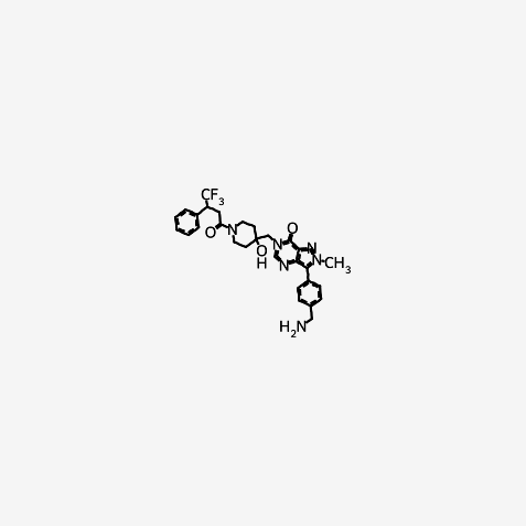 Cn1nc2c(=O)n(CC3(O)CCN(C(=O)CC(c4ccccc4)C(F)(F)F)CC3)cnc2c1-c1ccc(CN)cc1